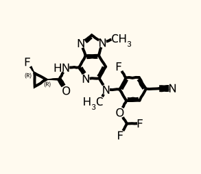 CN(c1cc2c(ncn2C)c(NC(=O)[C@H]2C[C@H]2F)n1)c1c(F)cc(C#N)cc1OC(F)F